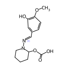 COc1ccc(/C=N/N2CCCCC2OC(=O)O)cc1O